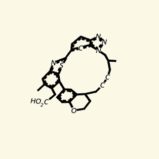 Cc1cc2nc3sc2c(c1CC(=O)O)-c1ccc2c(c1)C(CCCCC(C)Cn1nnc4ccc-3cc41)CCO2